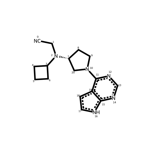 N#CCN(C1CCC1)[C@@H]1CCN(c2ncnc3[nH]ccc23)C1